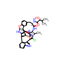 CC(C)[C@H](O)C(=O)N[C@H]1Cc2ccc3c(c2)[C@]24c5cc(Br)cc(c5NC2O3)-c2cccc3[nH]cc(c23)-c2oc(nc2Cl)-c2nc(oc24)[C@H](C(C)C)NC1=O